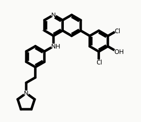 Oc1c(Cl)cc(-c2ccc3nc[c]c(Nc4cccc(CCN5CCCC5)c4)c3c2)cc1Cl